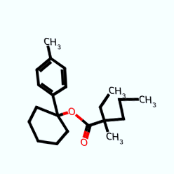 CCCC(C)(CC)C(=O)OC1(c2ccc(C)cc2)CCCCC1